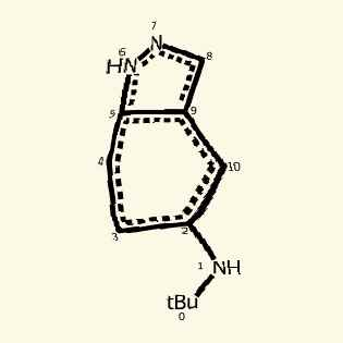 CC(C)(C)Nc1ccc2[nH]ncc2c1